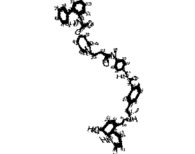 C[C@@H](Cc1cccc(CC(=O)NCc2ccc(N(C)C(=O)CCN3CCC(OC(=O)Nc4ccccc4-c4ccccc4)CC3)cc2)c1)NCCc1ccc(O)c2[nH]c(=O)ccc12